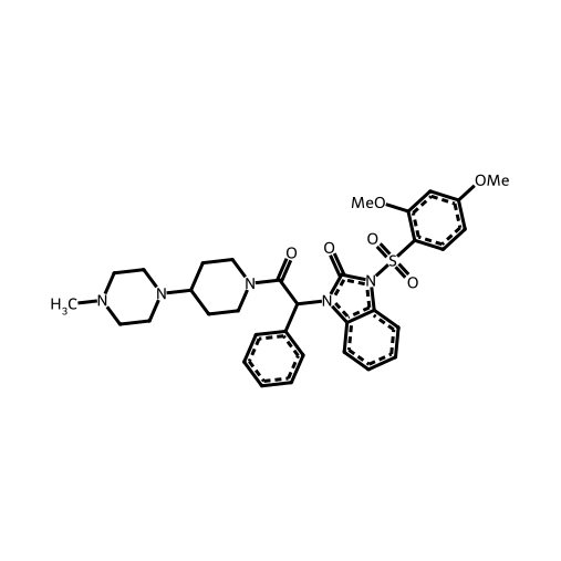 COc1ccc(S(=O)(=O)n2c(=O)n(C(C(=O)N3CCC(N4CCN(C)CC4)CC3)c3ccccc3)c3ccccc32)c(OC)c1